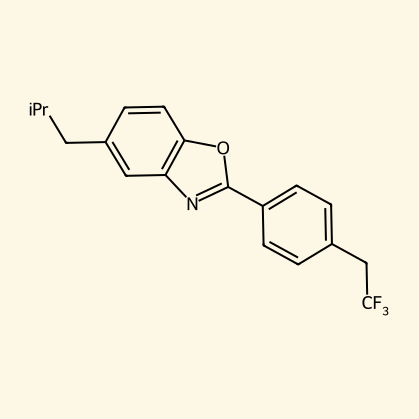 CC(C)Cc1ccc2oc(-c3ccc(CC(F)(F)F)cc3)nc2c1